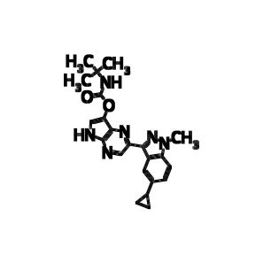 Cn1nc(-c2cnc3[nH]cc(OC(=O)NC(C)(C)C)c3n2)c2cc(C3CC3)ccc21